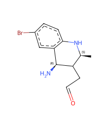 C[C@@H]1Nc2ccc(Br)cc2[C@H](N)C1CC=O